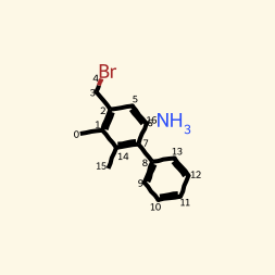 Cc1c(CBr)ccc(-c2ccccc2)c1C.N